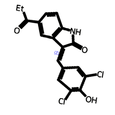 CCC(=O)c1ccc2c(c1)/C(=C/c1cc(Cl)c(O)c(Cl)c1)C(=O)N2